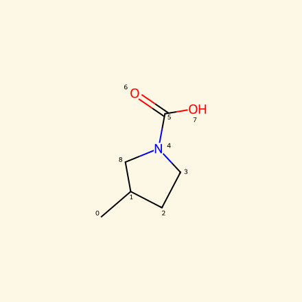 CC1CCN(C(=O)O)C1